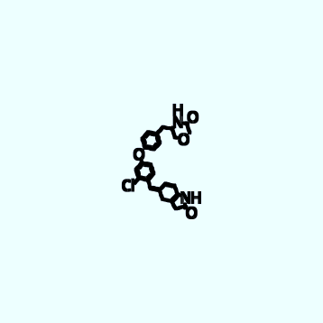 O=C1CC2=C(C=CC(=Cc3ccc(Oc4ccc(CC5COCC(=O)N5)cc4)cc3Cl)C2)N1